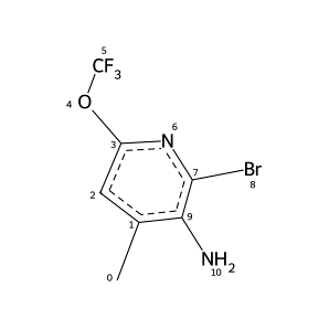 Cc1cc(OC(F)(F)F)nc(Br)c1N